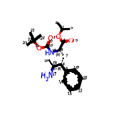 CC(C)OC(=O)[C@H](C[C@H](c1ccccc1)[C@H](C)N)NC(=O)OC(C)(C)C